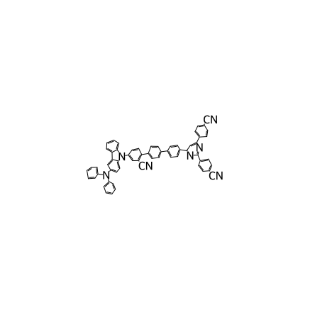 N#Cc1ccc(-c2cc(-c3ccc(-c4ccc(-c5ccc(-n6c7ccccc7c7cc(N(c8ccccc8)c8ccccc8)ccc76)cc5C#N)cc4)cc3)nc(-c3ccc(C#N)cc3)n2)cc1